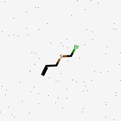 C=CCSCBr